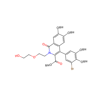 COC(=O)c1c(-c2cc(Br)c(OC)c(OC)c2)c2cc(OC)c(OC)cc2c(=O)n1CCOCCO